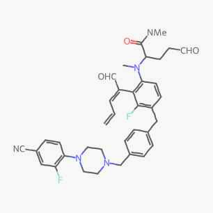 C=C/C=C(/C=O)c1c(N(C)C(CCC=O)C(=O)NC)ccc(Cc2ccc(CN3CCN(c4ccc(C#N)cc4F)CC3)cc2)c1F